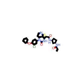 C=CC(=O)N[C@@H]1CC[C@H](NC(=O)c2sc3nccc4c3c2NC(=O)N4c2ccc(Oc3ccccc3)c(Cl)c2)C1